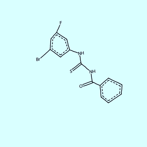 O=C(NC(=S)Nc1cc(F)cc(Br)c1)c1ccccc1